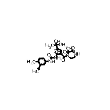 C#Cc1cc(NC(=O)Nc2sc(C(C)(C)C)cc2C(=O)N2CCNC(=O)C2(C)C)ccc1C